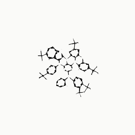 CC(C)(C)c1ccc(N2c3nc(N(c4ccccc4)c4ccc5c(c4)C(C)(C)CC5(C)C)nc4c3B(c3cc(C(C)(C)C)cc5c3N4c3ccc(C(C)(C)C)cc3O5)c3sc4ccc(C(C)(C)C)cc4c32)cc1